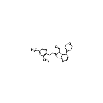 Cc1cnc(CCN2Cc3nccc(N4CCOCC4)c3C2C=O)c(C)c1